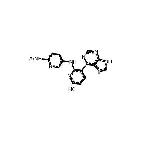 CC(=O)Nc1ccc(Nc2ncccc2-c2ncnc3[nH]cnc23)cn1.Cl